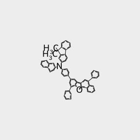 CC1(C)c2ccccc2-c2ccc(N(c3ccc(-c4cc(-c5ccccc5)c5oc6c7ccccc7c(-c7ccccc7)cc6c5c4)cc3)c3ccc4ccccc4c3)cc21